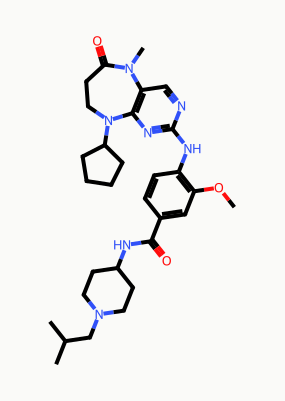 COc1cc(C(=O)NC2CCN(CC(C)C)CC2)ccc1Nc1ncc2c(n1)N(C1CCCC1)CCC(=O)N2C